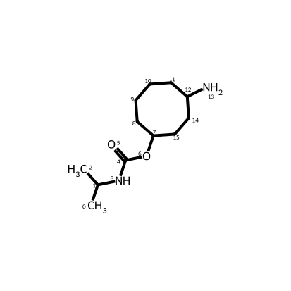 CC(C)NC(=O)OC1CCCCC(N)CC1